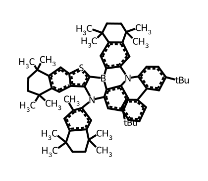 Cc1cc2c(cc1N1c3cc(C(C)(C)C)cc4c3B(c3cc5c(cc3N4c3ccc(C(C)(C)C)cc3-c3ccccc3)C(C)(C)CCC5(C)C)c3sc4cc5c(cc4c31)C(C)(C)CCC5(C)C)C(C)(C)CCC2(C)C